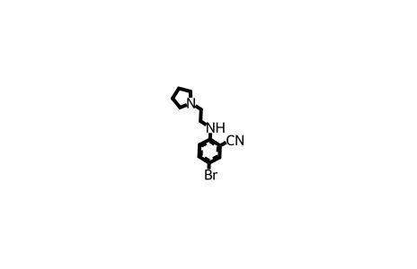 N#Cc1cc(Br)ccc1NCCN1CCCC1